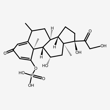 CC1C[C@@H]2[C@H]([C@@H](O)C[C@@]3(C)[C@H]2CC[C@]3(O)C(=O)CO)[C@@]2(C)C(OP(=O)(O)O)=CC(=O)C=C12